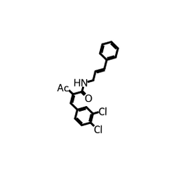 CC(=O)C(=Cc1ccc(Cl)c(Cl)c1)C(=O)NCC=Cc1ccccc1